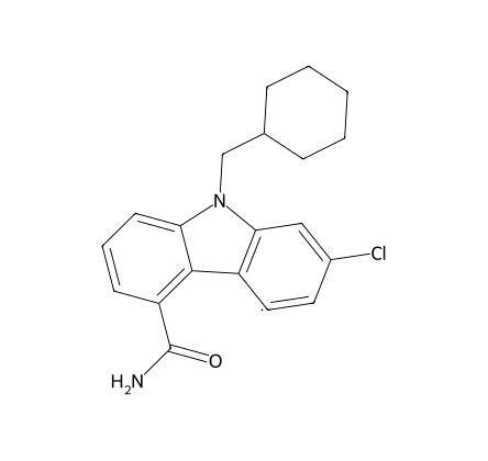 NC(=O)c1cccc2c1c1[c]cc(Cl)cc1n2CC1CCCCC1